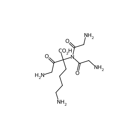 NCCCCC(C(=O)O)(C(=O)CN)N(C(=O)CN)C(=O)CN